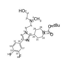 CN(CCO)CCn1cc(-c2ccc(F)c(F)c2)nc1C1CCN(C(=O)OC(C)(C)C)CC1